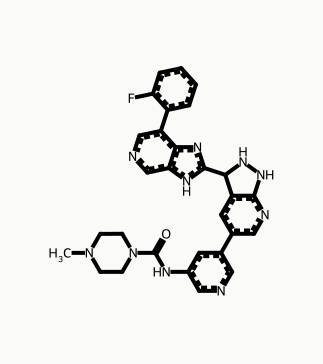 CN1CCN(C(=O)Nc2cncc(-c3cnc4c(c3)C(c3nc5c(-c6ccccc6F)cncc5[nH]3)NN4)c2)CC1